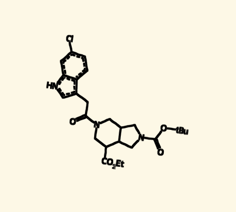 CCOC(=O)C1CN(C(=O)Cc2c[nH]c3cc(Cl)ccc23)CC2CN(C(=O)OC(C)(C)C)CC21